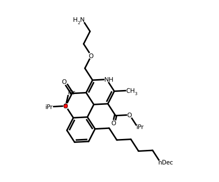 CCCCCCCCCCCCCCCc1cccc(OC(C)C)c1C1C(C(=O)OC(C)C)=C(C)NC(COCCN)=C1C(=O)OC(C)C